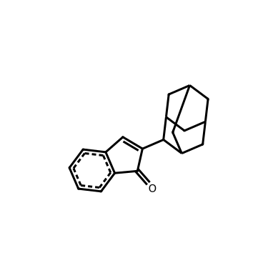 O=C1C(C2C3CC4CC(C3)CC2C4)=Cc2ccccc21